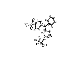 CS(=O)(=O)c1ccc(C(c2ccccc2)C2CCNCC2)cc1.O=C(O)C(F)(F)F